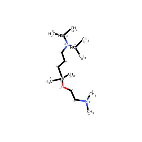 CN(C)CCO[Si](C)(C)CCCN([SiH](C)C)[SiH](C)C